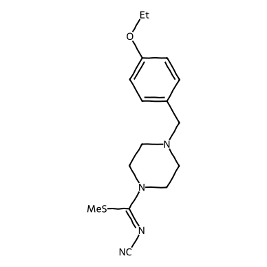 CCOc1ccc(CN2CCN(C(=NC#N)SC)CC2)cc1